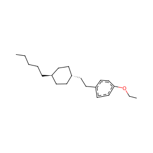 CCCCC[C@H]1CC[C@H](CCc2ccc(OCC)cc2)CC1